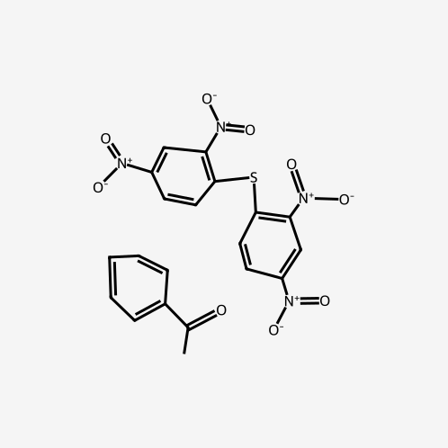 CC(=O)c1ccccc1.O=[N+]([O-])c1ccc(Sc2ccc([N+](=O)[O-])cc2[N+](=O)[O-])c([N+](=O)[O-])c1